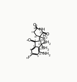 BC1(N2C(=O)c3cc(F)cc(N)c3C2(B)B)CCC(=O)NC1=O